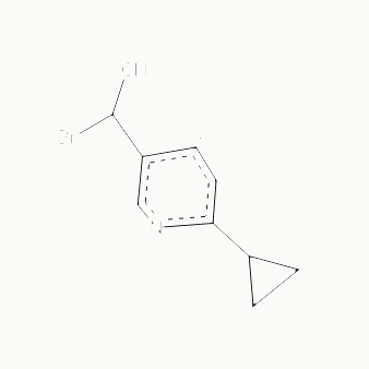 CC(Br)c1ccc(C2CC2)nc1